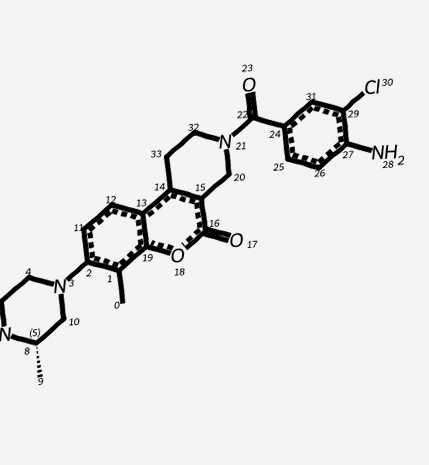 Cc1c(N2CCN(C)[C@@H](C)C2)ccc2c3c(c(=O)oc12)CN(C(=O)c1ccc(N)c(Cl)c1)CC3